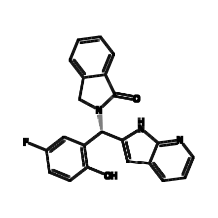 O=C1c2ccccc2CN1[C@H](c1cc2cccnc2[nH]1)c1cc(F)ccc1O